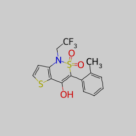 Cc1ccccc1C1=C(O)c2sccc2N(CC(F)(F)F)S1(=O)=O